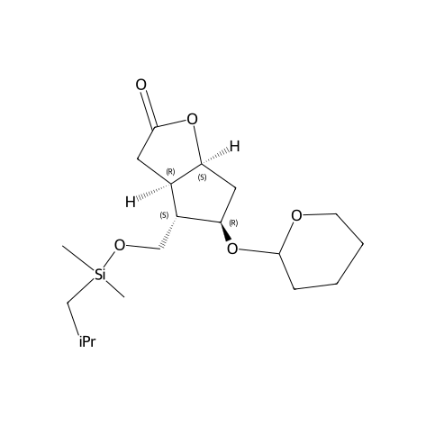 CC(C)C[Si](C)(C)OC[C@@H]1[C@H]2CC(=O)O[C@H]2C[C@H]1OC1CCCCO1